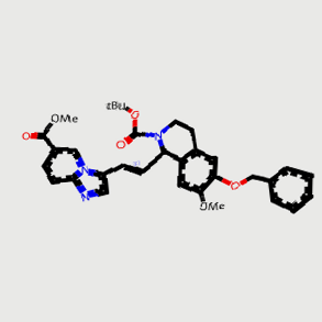 COC(=O)c1ccc2ncc(/C=C/C3c4cc(OC)c(OCc5ccccc5)cc4CCN3C(=O)OC(C)(C)C)n2c1